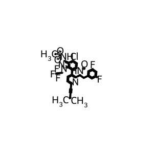 CC(C)C#Cc1ccc(-c2ccc(Cl)c3c(NS(C)(=O)=O)nn(CC(F)(F)F)c23)c(C(Cc2cc(F)cc(F)c2)NC=O)n1